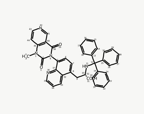 Cn1c(=O)n(-c2ccc(C[C@H](NC(c3ccccc3)(c3ccccc3)c3ccccc3)C(=O)O)c3cccnc23)c(=O)c2cnccc21